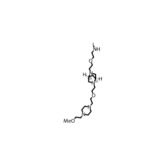 COCCN1CCN(CCOCCN2C[C@@H]3C[C@H]2CN3CCOCCNI)CC1